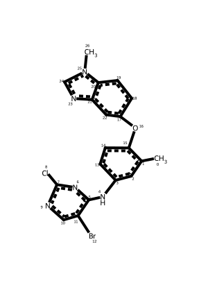 Cc1cc(Nc2nc(Cl)ncc2Br)ccc1Oc1ccc2c(c1)ncn2C